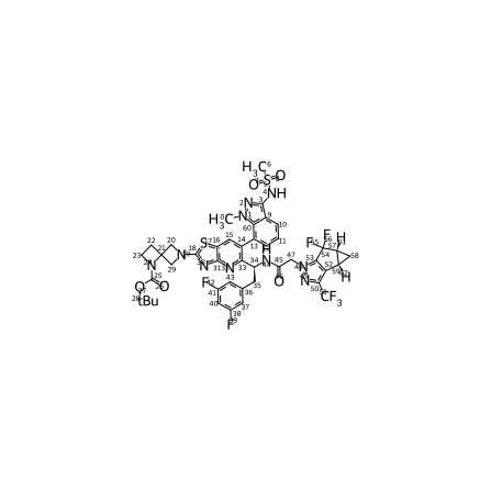 Cn1nc(NS(C)(=O)=O)c2cccc(-c3cc4sc(N5CC6(CCN6C(=O)OC(C)(C)C)C5)nc4nc3[C@H](Cc3cc(F)cc(F)c3)NC(=O)Cn3nc(C(F)(F)F)c4c3C(F)(F)[C@@H]3C[C@H]43)c21